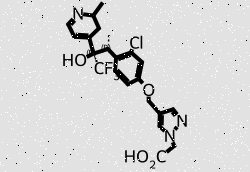 CC1CC([C@](O)([C@H](C)c2ccc(OCc3cnn(CC(=O)O)c3)cc2Cl)C(F)(F)F)=CC=N1